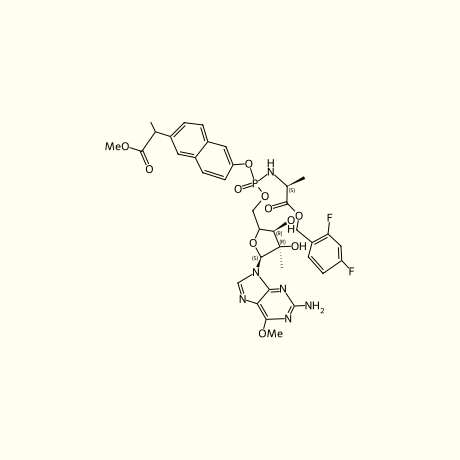 COC(=O)C(C)c1ccc2cc(OP(=O)(N[C@@H](C)C(=O)OCc3ccc(F)cc3F)OCC3O[C@H](n4cnc5c(OC)nc(N)nc54)[C@](C)(O)[C@@H]3O)ccc2c1